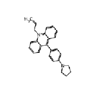 C=CC[n+]1c2ccccc2c(-c2ccc(N3CCCC3)cc2)c2ccccc21